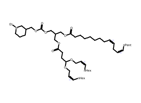 CCCCC/C=C\C/C=C\CCCCCCCC(=O)OCC(COC(=O)CCC(OC/C=C\CCCCCC)OC/C=C\CCCCCC)COC(=O)OCC1CCCN(CC)C1